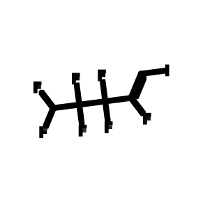 FC(=CI)C(F)(F)C(F)(F)C(F)F